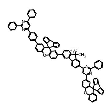 CC1(C)c2ccc(-c3ccc4c(c3)C3(c5cc(-c6ccc(-c7cc(-c8ccccc8)nc(-c8ccccc8)n7)cc6)ccc5O4)c4ccccc4-c4ccccc43)cc2-c2ccc(-c3cc(-c4ccc5c(c4)C4(c6ccccc6O5)c5ccccc5-c5ccccc54)nc(-c4ccccc4)n3)cc21